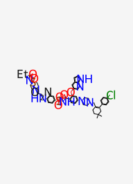 CCC(=O)N=S1(=O)CCN(CCNc2ccc(S(=O)(=O)NC(=O)c3ccc(N4CCN(CC5=C(c6ccc(Cl)cc6)CC(C)(C)CC5)CC4)cc3Oc3cnc4[nH]ccc4c3)cc2[N+](=O)[O-])CC1